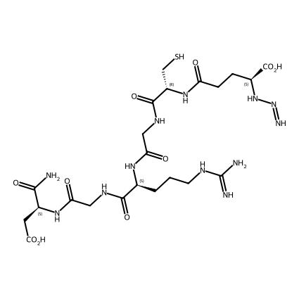 N=NN[C@@H](CCC(=O)N[C@@H](CS)C(=O)NCC(=O)N[C@@H](CCCNC(=N)N)C(=O)NCC(=O)N[C@@H](CC(=O)O)C(N)=O)C(=O)O